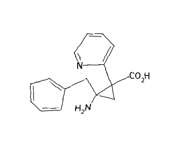 NC1(Cc2ccccc2)CC1(C(=O)O)c1ccccn1